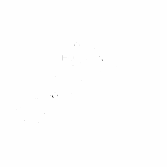 O[C@@H]1CN(CCc2ccccc2)CC[C@@]1(O)c1ccc(OCc2ccccc2)cc1